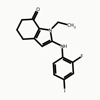 CCn1c(Nc2ccc(I)cc2F)cc2c1C(=O)CCC2